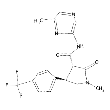 Cc1cncc(NC(=O)[C@@H]2C(=O)N(C)C[C@H]2c2ccc(C(F)(F)F)cc2)n1